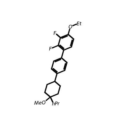 CCCC1(OC)CCC(c2ccc(-c3ccc(OCC)c(F)c3F)cc2)CC1